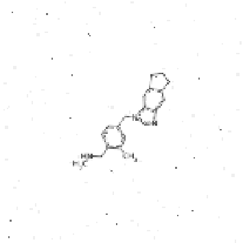 CNCc1ccc(Cn2cnc3cc4c(cc32)CCC4)cc1C